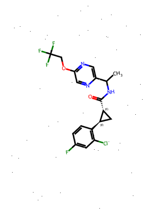 CC(NC(=O)[C@@H]1C[C@H]1c1ccc(F)cc1Cl)c1cnc(OCC(F)(F)F)cn1